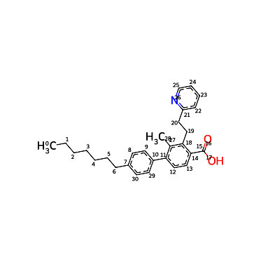 CCCCCCCc1ccc(-c2ccc(C(=O)O)c(CCc3ccccn3)c2C)cc1